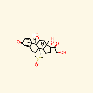 C[C@]12C=CC(=O)C=C1CC[C@@H]1[C@@H]2[C@@H](O)C[C@@]2(C)[C@H]1CC[C@]2(O)C(=O)CO.C[S+](C)[O-]